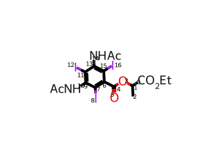 CCOC(=O)C(C)OC(=O)c1c(I)c(NC(C)=O)c(I)c(NC(C)=O)c1I